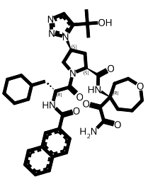 CC(C)(O)c1cnnn1[C@H]1C[C@@H](C(=O)N[C@]2(C(=O)C(N)=O)CCCOCC2)N(C(=O)[C@@H](CC2CCCCC2)NC(=O)c2ccc3ccccc3c2)C1